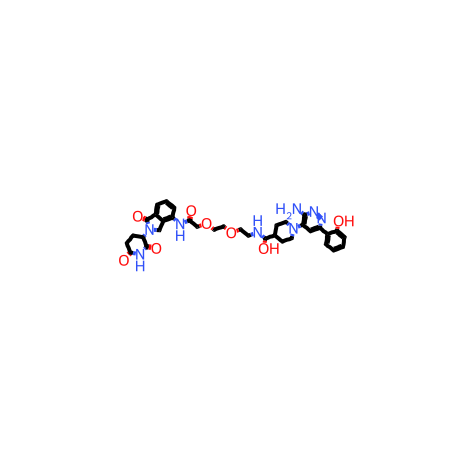 Nc1nnc(-c2ccccc2O)cc1N1CCC(C(O)NCCOCCOCC(=O)Nc2cccc3c2CN(C2CCC(=O)NC2=O)C3=O)CC1